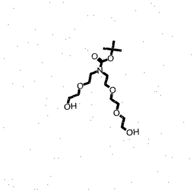 CC(C)(C)OC(=O)N(CCOCCO)CCOCCOCCO